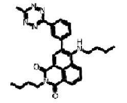 CCCCNc1c(-c2cccc(-c3nnc(C)nn3)c2)cc2c3c(cccc13)C(=O)N(CCCC)C2=O